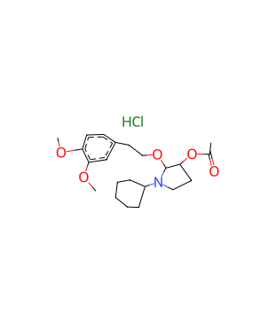 COc1ccc(CCOC2C(OC(C)=O)CCN2C2CCCCC2)cc1OC.Cl